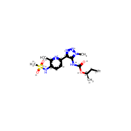 Cc1nc(-c2nnn(C)c2NC(=O)O[C@H](C)CC(C)C)ccc1NS(C)(=O)=O